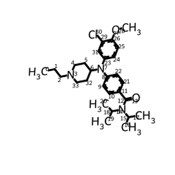 CCCN1CCC(N(c2ccc(C(=O)N(C(C)C)C(C)C)cc2)c2ccc(OC)c(Cl)c2)CC1